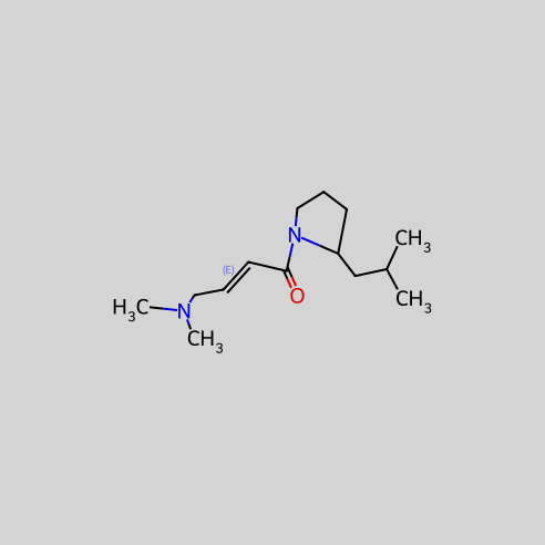 CC(C)CC1CCCN1C(=O)/C=C/CN(C)C